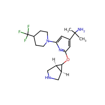 CC(C)(N)c1cc(OC2[C@H]3CNC[C@@H]23)nc(N2CCC(C(F)(F)F)CC2)c1